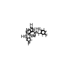 O=C(NCc1cc(F)ccc1F)c1n[nH]c2ncnc(N[C@@H]3C[C@@H](F)C[C@H]3O)c12